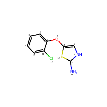 NC1NC=C(Oc2ccccc2Cl)S1